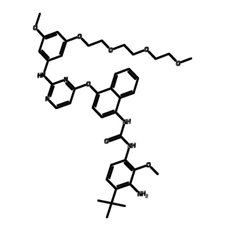 COCCOCCOCCOc1cc(Nc2nccc(Oc3ccc(NC(=O)Nc4ccc(C(C)(C)C)c(N)c4OC)c4ccccc34)n2)cc(OC)c1